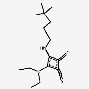 CCN(CC)c1c(NCCCC(C)(C)C)c(=O)c1=S